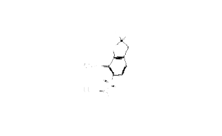 COc1c(S(=O)(=O)N(C)C)ccc2c1OC(C)(C)C2